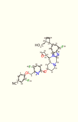 N#Cc1ccc(OCc2nc(OC3CCN(Cc4nc5c(F)cc(C6C#CC6C(=O)O)cc5n4C[C@@H]4CCO4)CC3)ccc2F)c(F)c1